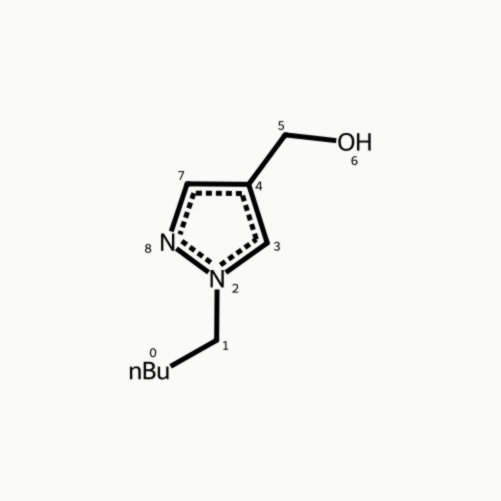 CCCCCn1cc(CO)cn1